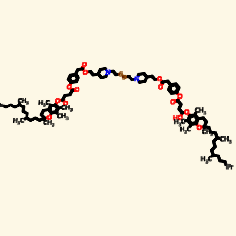 Cc1c(C)c2c(c(C)c1OC(=O)CCC(=O)Oc1ccc(CC(=O)OCCC3CCN(CCSSCCN4CCC(CCOC(=O)Cc5ccc(OC(=O)CCC(O)Oc6c(C)c(C)c7c(c6C)CCC(C)(CCCC(C)CCCC(C)CCCC(C)C)O7)cc5)CC4)CC3)cc1)CCC(C)(CCCC(C)CCCC(C)CCCC(C)C)O2